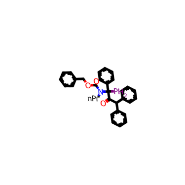 CCCN(C(=O)OCc1ccccc1)C(P)(C(=O)C(c1ccccc1)c1ccccc1)c1ccccc1